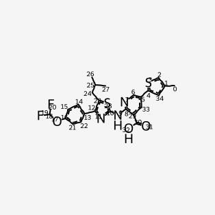 Cc1csc(-c2cnc(Nc3nc(-c4ccc(OC(F)F)cc4)c(CC(C)C)s3)c(C(=O)O)c2)c1